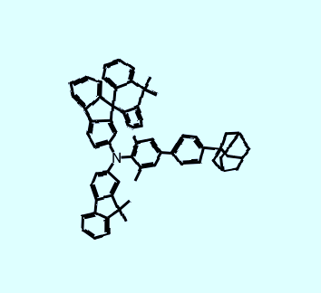 Cc1cc(-c2ccc(C34CC5CC(CC(C5)C3)C4)cc2)cc(C)c1N(c1ccc2c(c1)C(C)(C)c1ccccc1-2)c1ccc2c(c1)C1(c3ccccc3-2)c2ccccc2C(C)(C)c2ccccc21